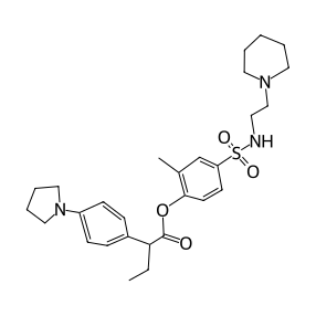 CCC(C(=O)Oc1ccc(S(=O)(=O)NCCN2CCCCC2)cc1C)c1ccc(N2CCCC2)cc1